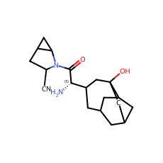 N#CC1CC2CC2N1C(=O)[C@@H](N)C1CC2CC3CC(C2)C(O)(C3)C1